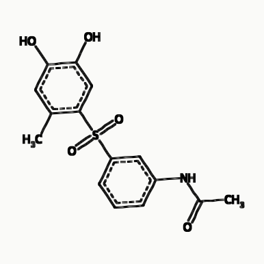 CC(=O)Nc1cccc(S(=O)(=O)c2cc(O)c(O)cc2C)c1